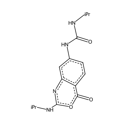 CC(C)NC(=O)Nc1ccc2c(=O)oc(NC(C)C)nc2c1